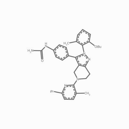 Cc1ccc(C(C)C)nc1N1CCc2nn(-c3c(C)cccc3OCC(C)C)c(-c3ccc(NC(N)=O)cc3)c2C1